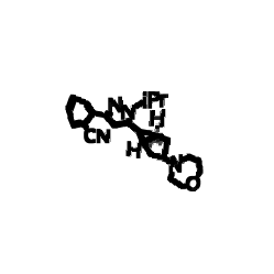 CC(C)n1nc(-c2ccccc2C#N)cc1C1[C@H]2CC(N3CCCOCC3)C[C@@H]12